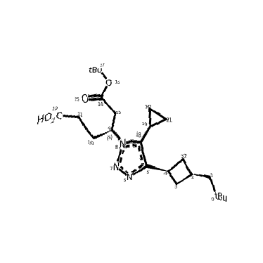 CC(C)(C)C[C@H]1C[C@@H](c2nnn([C@@H](CCC(=O)O)CC(=O)OC(C)(C)C)c2C2CC2)C1